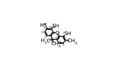 Cc1ccc2c(c1S)Oc1c(ccc(S)c1S)C2(C)C